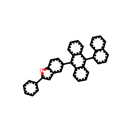 c1ccc(-c2cc3cc(-c4c5ccccc5c(-c5cccc6ccccc56)c5ccccc45)ccc3o2)cc1